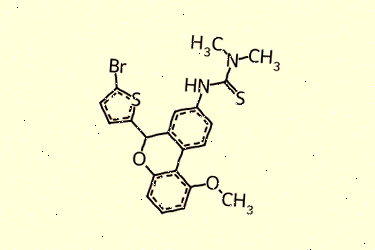 COc1cccc2c1-c1ccc(NC(=S)N(C)C)cc1C(c1ccc(Br)s1)O2